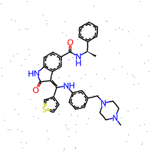 C[C@@H](NC(=O)c1ccc2c(c1)C(=C(Nc1cccc(CN3CCN(C)CC3)c1)c1ccsc1)C(=O)N2)c1ccccc1